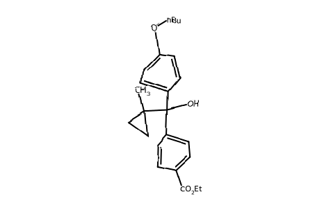 CCCCOc1ccc(C(O)(c2ccc(C(=O)OCC)cc2)C2(C)CC2)cc1